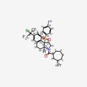 CC(C)C1CCCCC(C(=O)N2CC[C@@]3(S(=O)(=O)c4ccc(I)cc4)c4ccc(C(F)(C(F)(F)F)C(F)(F)F)cc4CC[C@@H]23)C1